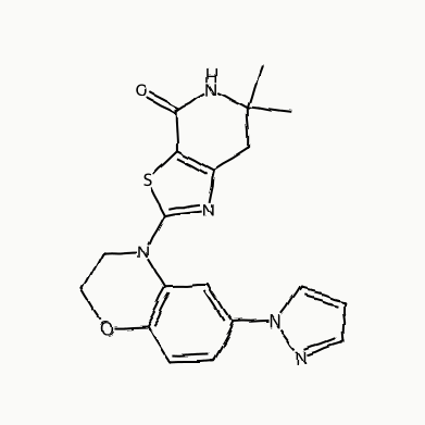 CC1(C)Cc2nc(N3CCOc4ccc(-n5cccn5)cc43)sc2C(=O)N1